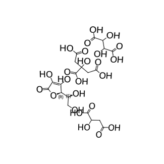 O=C(O)C(O)C(O)C(=O)O.O=C(O)CC(O)(CC(=O)O)C(=O)O.O=C(O)CC(O)C(=O)O.O=C1O[C@H]([C@@H](O)CO)C(O)=C1O